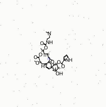 CO[C@H]1C[C@H]2C=C[C@@H]3C[C@]2(O[C@H]3[C@H](OC(=O)c2ccc[nH]2)[C@H](C)[C@H](C)O)/C(C)=C/[C@@H](C)[C@@H]([C@@H](C)OC(=O)NCCN(C)C)OC1=O